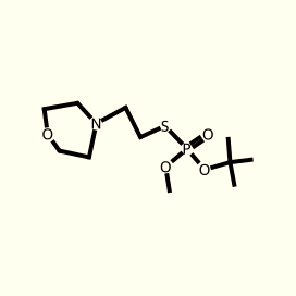 COP(=O)(OC(C)(C)C)SCCN1CCOCC1